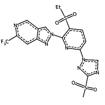 CCS(=O)(=O)c1ccc(-n2cnc(S(C)(=O)=O)n2)nc1-n1cc2cnc(C(F)(F)F)cc2n1